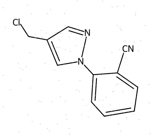 N#Cc1ccccc1-n1cc(CCl)cn1